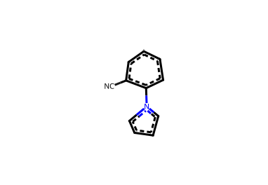 N#Cc1c[c]ccc1-n1cccc1